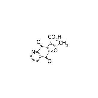 Cc1oc2c(c1C(=O)O)C(=O)c1ncccc1C2=O